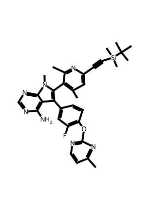 Cc1ccnc(Oc2ccc(-c3c(-c4c(C)cc(C#C[Si](C)(C)C(C)(C)C)nc4C)n(C)c4ncnc(N)c34)cc2F)n1